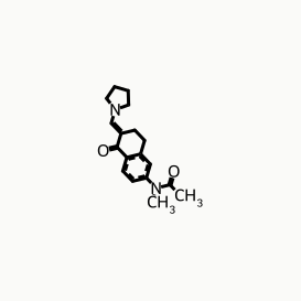 CC(=O)N(C)c1ccc2c(c1)CC/C(=C\N1CCCC1)C2=O